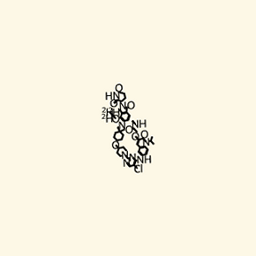 [2H]C([2H])([2H])Oc1c(N2CC3(CCC(OC4CCN(c5ncc(Cl)c(Nc6ccc7c(c6)cc(OCC(=O)NC)c(=O)n7C(C)C)n5)CC4)CC3)C2)ccc2c1CN(C1CCC(=O)NC1=O)C2=O